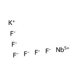 [F-].[F-].[F-].[F-].[F-].[F-].[K+].[Nb+5]